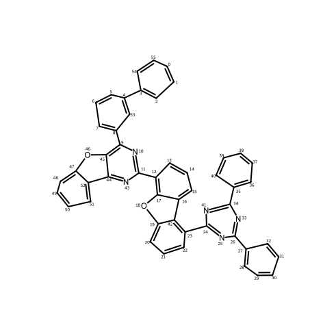 c1ccc(-c2cccc(-c3nc(-c4cccc5c4oc4cccc(-c6nc(-c7ccccc7)nc(-c7ccccc7)n6)c45)nc4c3oc3ccccc34)c2)cc1